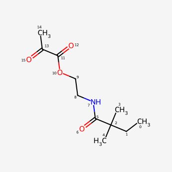 CCC(C)(C)C(=O)NCCOC(=O)C(C)=O